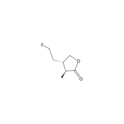 C[C@@H]1C(=O)OC[C@H]1CCF